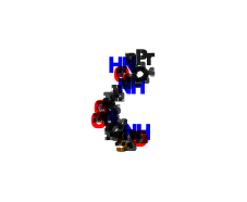 CCCNc1ccccc1C(=O)NCCC[C@@H]1CN(c2ccc3c(c2)NC(=O)CS3)C(=O)O1